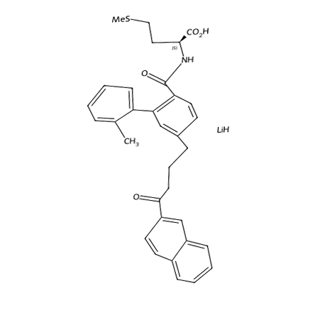 CSCC[C@H](NC(=O)c1ccc(CCCC(=O)c2ccc3ccccc3c2)cc1-c1ccccc1C)C(=O)O.[LiH]